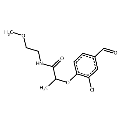 COCCNC(=O)C(C)Oc1ccc(C=O)cc1Cl